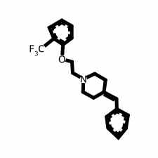 FC(F)(F)c1ccccc1OCCN1CCC(=Cc2ccccc2)CC1